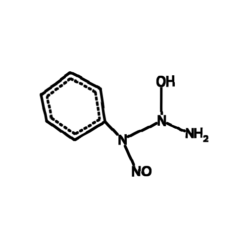 NN(O)N(N=O)c1ccccc1